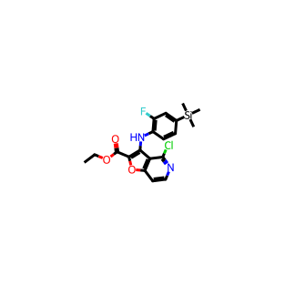 CCOC(=O)c1oc2ccnc(Cl)c2c1Nc1ccc([Si](C)(C)C)cc1F